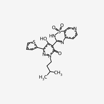 CC(C)CCn1nc(-c2cccs2)c(O)c(C2=Nc3ccncc3S(=O)(=O)N2)c1=O